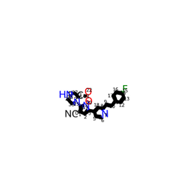 N#Cc1cc(-c2ccnc(C=Cc3ccc(F)cc3)c2)n(OC(=O)C(F)(F)F)c1N1CCNCC1